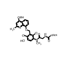 CCCCCCC(=O)NCC(=O)N(C)c1ccc(Cl)c(COc2cccc3c(OC)cc(C)nc23)c1Cl.Cl